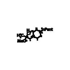 CCCCCN1CCN(CC(C)(C)OC)CC1